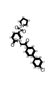 O=C(Cn1cc(S(=O)(=O)N2CCCC2)ccc1=O)c1ccc(-c2ccc(Cl)cc2)cc1